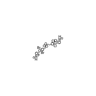 O=C(CCc1cc(Cl)c(OCc2cccc(NC3CCC3)c2Cl)c(Cl)c1)OC(=O)Cc1cc(Br)c(OCc2cccc(NC3CCC3)c2F)c(Br)c1